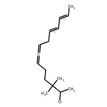 C/C=C/C=C/CC=C=CCCC(C)(C)C(C)Cl